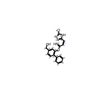 N=C(/C=C\c1nnc(Cl)[nH]1)Oc1cc(CO)ccc1-c1ccccc1